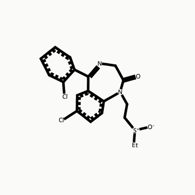 CC[S+]([O-])CCN1C(=O)CN=C(c2ccccc2Cl)c2cc(Cl)ccc21